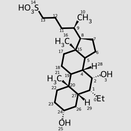 CC[C@H]1[C@@H](O)[C@H]2C3CC[C@H]([C@H](C)CCCS(=O)(=O)O)[C@@]3(C)CCC2[C@@]2(C)CC[C@@H](O)C[C@@H]12